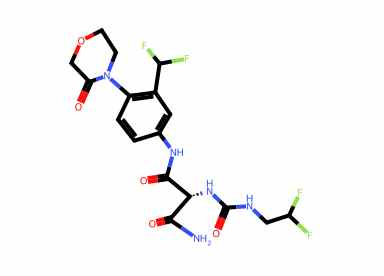 NC(=O)[C@@H](NC(=O)NCC(F)F)C(=O)Nc1ccc(N2CCOCC2=O)c(C(F)F)c1